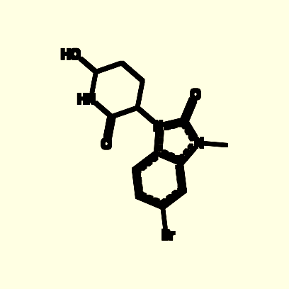 Cn1c(=O)n(C2CCC(O)NC2=O)c2ccc(Br)cc21